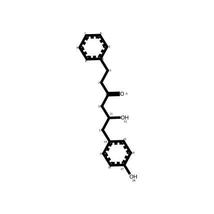 O=C(CCc1ccccc1)CC(O)Cc1ccc(O)cc1